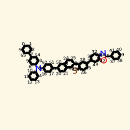 c1ccc(-c2ccc(N(c3ccccc3)c3ccc(-c4ccc5c(ccc6c7cc(-c8ccc9nc(-c%10ccccc%10)oc9c8)ccc7sc56)c4)cc3)cc2)cc1